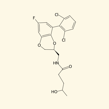 CC(O)CCC(=O)NC[C@H]1COc2cc(F)cc(-c3c(Cl)cccc3Cl)c2O1